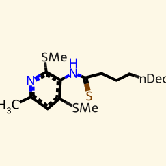 CCCCCCCCCCCCCC(=S)Nc1c(SC)cc(C)nc1SC